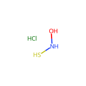 Cl.ONS